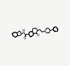 O=C(NC1Cc2ccccc2C1)c1ccc2c(c1)CCC(CCN1CCC(c3ccccc3)CC1)C2=O